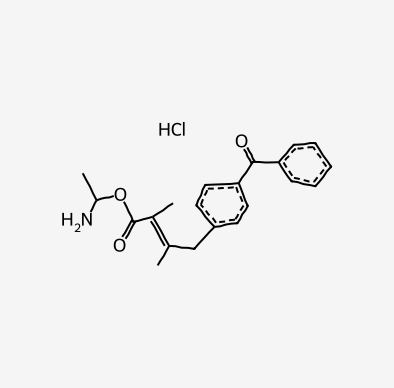 CC(Cc1ccc(C(=O)c2ccccc2)cc1)=C(C)C(=O)OC(C)N.Cl